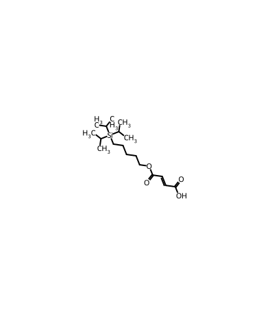 CC(C)[Si](CCCCCOC(=O)/C=C/C(=O)O)(C(C)C)C(C)C